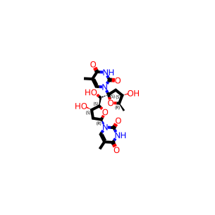 Cc1cn([C@H]2C[C@H](O)[C@@H](C(O)[C@]3(n4cc(C)c(=O)[nH]c4=O)C[C@H](O)[C@@H](C)O3)O2)c(=O)[nH]c1=O